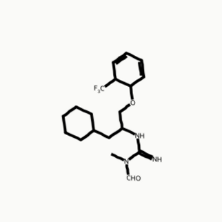 CN(C=O)C(=N)NC(COC1C=CC=CC1C(F)(F)F)CC1CCCCC1